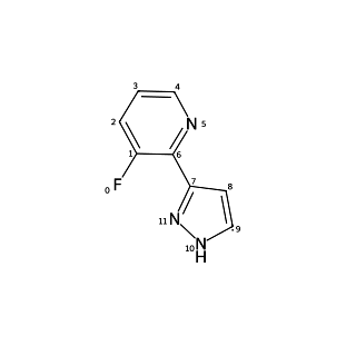 Fc1cccnc1-c1c[c][nH]n1